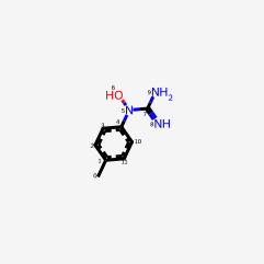 Cc1ccc(N(O)C(=N)N)cc1